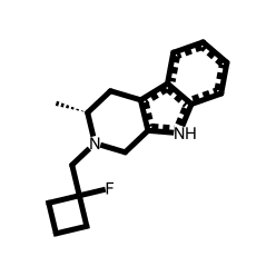 C[C@@H]1Cc2c([nH]c3ccccc23)CN1CC1(F)CCC1